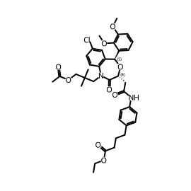 CCOC(=O)CCCc1ccc(NC(=O)C[C@H]2O[C@H](c3cccc(OC)c3OC)c3cc(Cl)ccc3N(CC(C)(C)COC(C)=O)C2=O)cc1